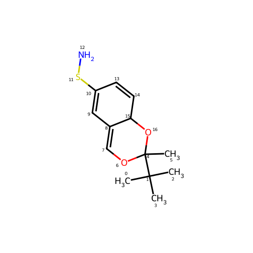 CC(C)(C)C1(C)OC=C2C=C(SN)C=CC2O1